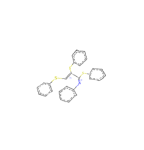 C(/Sc1ccccc1)=C(Sc1ccccc1)\C(=N/c1ccccc1)Sc1ccccc1